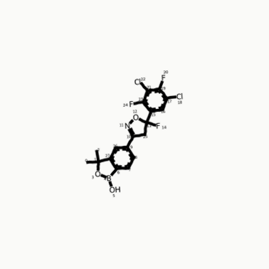 CC1(C)OB(O)c2ccc(C3=NOC(F)(c4cc(Cl)c(F)c(Cl)c4F)C3)cc21